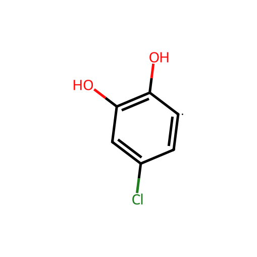 Oc1[c]cc(Cl)cc1O